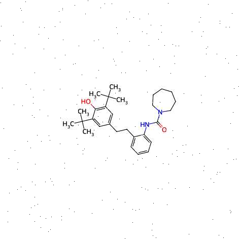 CC(C)(C)c1cc(CCc2ccccc2NC(=O)N2CCCCCC2)cc(C(C)(C)C)c1O